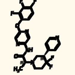 C[C@@H](C(=O)Nc1cnc(Oc2ccc(F)c(F)c2F)cn1)N1CCC(F)(F)[C@@H](c2ccncc2)C1